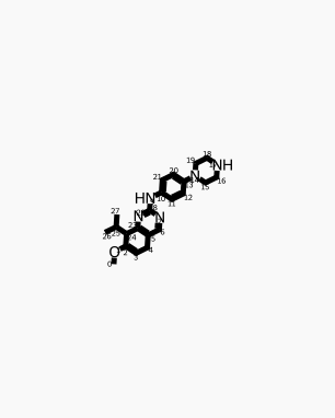 COC1=CCc2cnc(Nc3ccc(N4CCNCC4)cc3)nc2C1C(C)C